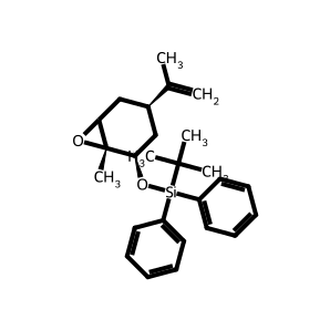 C=C(C)[C@@H]1CC2O[C@@]2(C)[C@H](O[Si](c2ccccc2)(c2ccccc2)C(C)(C)C)C1